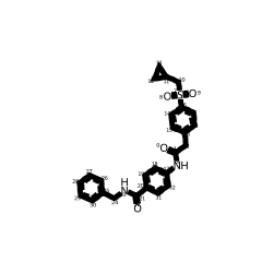 O=C(Cc1ccc(S(=O)(=O)CC2CC2)cc1)Nc1ccc(C(=O)NCc2ccccc2)cc1